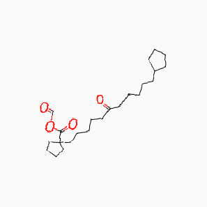 O=COC(=O)C1(CCCCCC(=O)CCCCCC2CCCC2)CCCC1